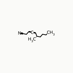 CCCC[C@H](C)C=C=CCC#N